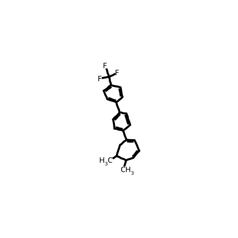 CC1C=CC=C(c2ccc(-c3ccc(C(F)(F)F)cc3)cc2)CC1C